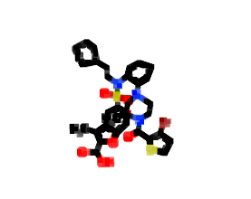 Cc1c(C(=O)O)oc2ccc(S(=O)(=O)N(CCc3ccccc3)c3ccccc3N3CCN(C(=O)c4sccc4Br)C(C)C3)cc12